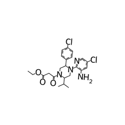 CCOC(=O)CC(=O)N1CC(c2ccc(Cl)cc2)N(c2ncc(Cl)cc2N)CC1C(C)C